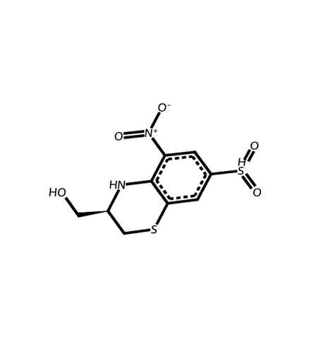 O=[N+]([O-])c1cc([SH](=O)=O)cc2c1N[C@H](CO)CS2